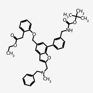 CCOC(=O)Cc1ccccc1OCc1cc(-c2cccc(CNC(=O)OC(C)(C)C)c2)c2oc(CN(C)Cc3ccccc3)cc2c1